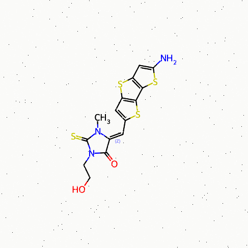 CN1C(=S)N(CCO)C(=O)/C1=C/c1cc2sc3cc(N)sc3c2s1